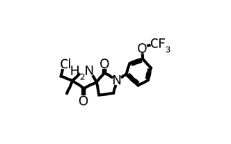 CC(C)(CCl)C(=O)C1(N)CCN(c2cccc(OC(F)(F)F)c2)C1=O